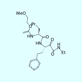 C=C(N[C@@H](CC(C)C)C(=O)N[C@@H](CCc1ccccc1)C(=O)C(=O)NCC)OCCOC